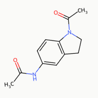 CC(=O)Nc1ccc2c(c1)CCN2C(C)=O